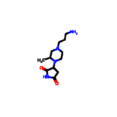 CC1CN(CCCN)CCN1C1CC(=O)NC1=O